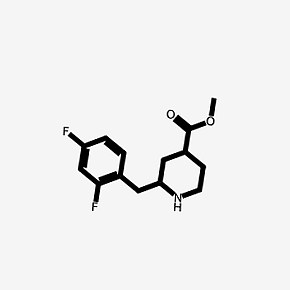 COC(=O)C1CCNC(Cc2ccc(F)cc2F)C1